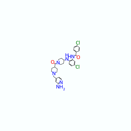 Nc1cc(CN2CCC(C(=O)N3CCC(Nc4ccc(Cl)cc4NC(=O)c4ccc(Cl)cc4)CC3)CC2)ccn1